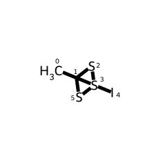 CC12SS1(I)S2